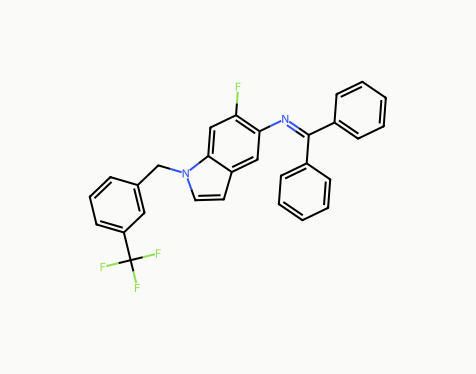 Fc1cc2c(ccn2Cc2cccc(C(F)(F)F)c2)cc1N=C(c1ccccc1)c1ccccc1